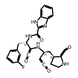 O=C=C[C@H](C[C@@H]1CCNC1=C=O)NC(=C=O)[C@H](Cc1cccc(F)c1)NC(=O)c1nc2ccccc2[nH]1